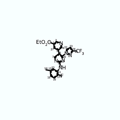 CCOC(=O)c1cncc(-c2cnc(Nc3cc(C)ccc3F)nc2-n2ccc(C(F)(F)F)n2)c1